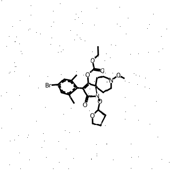 CCOC(=O)OC1=C(c2c(C)cc(Br)cc2C)C(=O)N(OC2CCCO2)C12CCN(OC)CC2